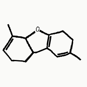 CC1=CC2=C(CC1)OC1C(C)=CCCC21